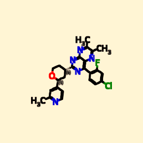 Cc1cc([C@@H]2C[C@@H](c3nc(-c4ccc(Cl)cc4F)c4nc(C)c(C)nc4n3)CCO2)ccn1